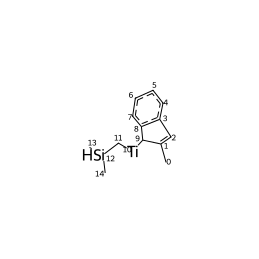 CC1=Cc2ccccc2[CH]1[Ti][CH2][SiH](C)C